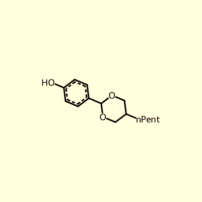 CCCCCC1COC(c2ccc(O)cc2)OC1